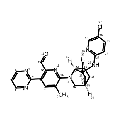 Cc1cc(-c2ncccn2)c(C=O)nc1N1C[C@@H]2CC[C@H]1[C@H](Nc1ccc(Cl)cn1)C2